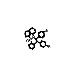 O=P1(c2ccccc2)c2ccccc2C(c2ccc(Br)cc2)=C(c2ccc(Br)cc2)N1c1ccccc1